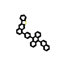 c1ccc2cc(-c3c4ccccc4c(-c4ccc(-c5cccc6cc7c(cc56)sc5ccccc57)cc4)c4ccccc34)ccc2c1